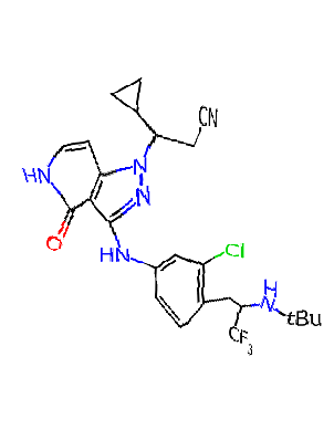 CC(C)(C)NC(c1ccc(Nc2nn(C(CC#N)C3CC3)c3cc[nH]c(=O)c23)cc1Cl)C(F)(F)F